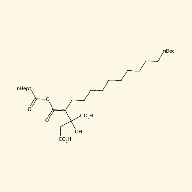 CCCCCCCCCCCCCCCCCCCCC(C(=O)OC(=O)CCCCCCC)C(O)(CC(=O)O)C(=O)O